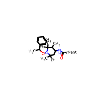 CCCCCC(=O)NC1CC(C)(CC)N(OC(C)c2ccccc2)C(C)(CC)C1C